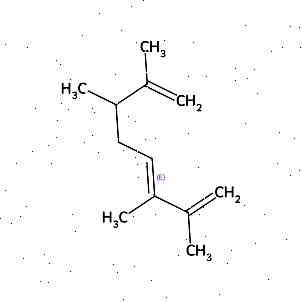 C=C(C)/C(C)=C/CC(C)C(=C)C